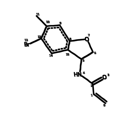 C=CC(=O)NC1COc2cc(C)c(Br)cc21